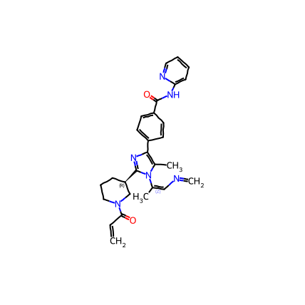 C=CC(=O)N1CCC[C@@H](c2nc(-c3ccc(C(=O)Nc4ccccn4)cc3)c(C)n2/C(C)=C\N=C)C1